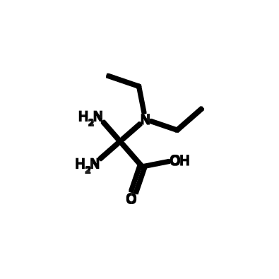 CCN(CC)C(N)(N)C(=O)O